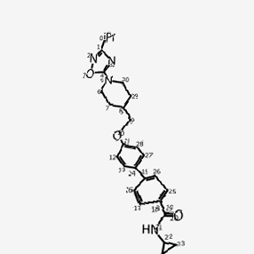 CC(C)c1noc(N2CCC(COc3ccc(-c4ccc(C(=O)NC5CC5)cc4)cc3)CC2)n1